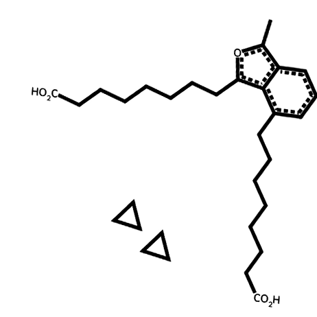 C1CC1.C1CC1.Cc1oc(CCCCCCCC(=O)O)c2c(CCCCCCCC(=O)O)cccc12